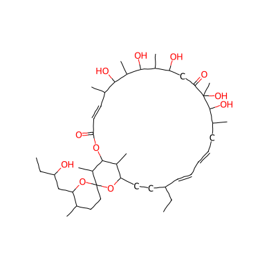 CCC(O)CC1OC2(CCC1C)OC1CCC(CC)/C=C/C=C/CC(C)C(O)C(C)(O)C(=O)CC(O)C(C)C(O)C(C)C(O)C(C)/C=C/C(=O)OC(C1C)C2C